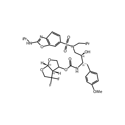 COc1ccc(C[C@H](NC(=O)OC2CO[C@H]3OCC(F)(F)[C@@H]23)[C@H](O)CN(CC(C)C)S(=O)(=O)c2ccc3nc(NC(C)C)oc3c2)cc1